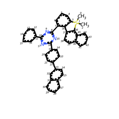 CS1(C)c2cccc(-c3nc(-c4ccccc4)nc(-c4ccc(-c5ccc6ccccc6c5)cc4)n3)c2-c2ccc3ccccc3c21